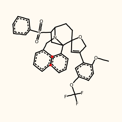 COc1ccc(OC(F)(F)F)cc1C1=CC2(CCC3C(S(=O)(=O)c4ccccc4)CC2(c2ccccc2)N3Cc2ccccc2)OC1